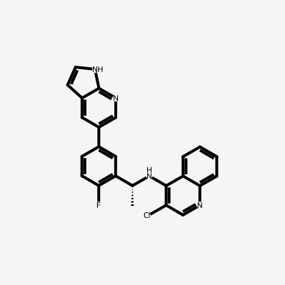 C[C@@H](Nc1c(Cl)cnc2ccccc12)c1cc(-c2cnc3[nH]ccc3c2)ccc1F